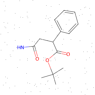 CC(C)(C)OC(=O)C(CC([NH])=O)c1ccccc1